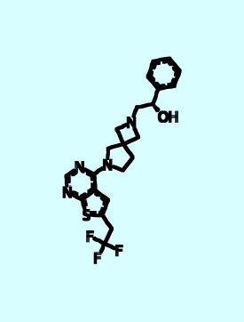 O[C@@H](CN1CC2(CCN(c3ncnc4sc(CC(F)(F)F)cc34)C2)C1)c1ccccc1